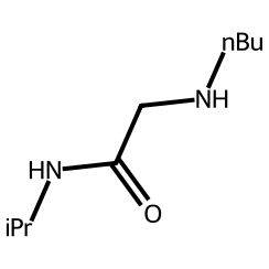 CCCCNCC(=O)NC(C)C